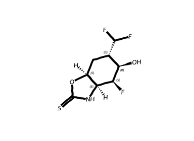 O[C@H]1[C@@H](F)[C@H]2NC(=S)O[C@H]2C[C@@H]1C(F)F